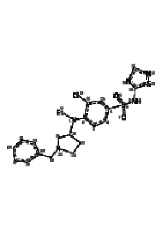 CCN(c1ccc(S(=O)(=O)Nc2ncns2)cc1Cl)C1CCN(Cc2ccccc2)C1